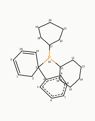 C1=CCC(c2ccccc2)(P(C2CCCCC2)C2CCCCC2)C=C1